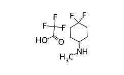 CNC1CCC(F)(F)CC1.O=C(O)C(F)(F)F